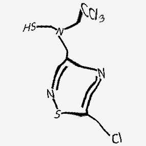 SN(c1nsc(Cl)n1)C(Cl)(Cl)Cl